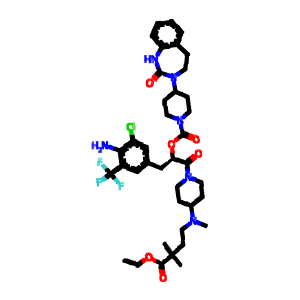 CCOC(=O)C(C)(C)CCN(C)C1CCN(C(=O)[C@@H](Cc2cc(Cl)c(N)c(C(F)(F)F)c2)OC(=O)N2CCC(N3CCc4ccccc4NC3=O)CC2)CC1